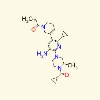 C=CC(=O)N1CCC=C(c2cc(N)c(N3CCN(C(=O)C4CC4)[C@H](C)C3)nc2C2CC2)C1